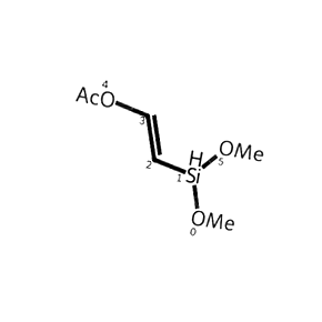 CO[SiH](C=COC(C)=O)OC